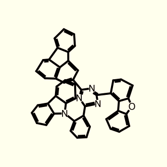 c1ccc2c(c1)-c1cccc3cc(-c4nc(-c5ccccc5-n5c6ccccc6c6ccccc65)nc(-c5cccc6oc7ccccc7c56)n4)cc-2c13